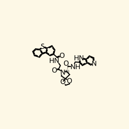 O=C(NCC(=O)N1CC2(C[C@H]1C(=O)NCc1cc3cnccc3[nH]1)OCCO2)c1ccc2sc3ccccc3c2c1